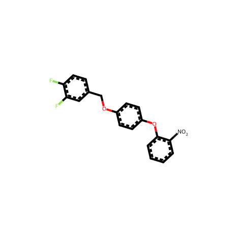 O=[N+]([O-])c1ccccc1Oc1ccc(OCc2ccc(F)c(F)c2)cc1